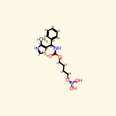 Cc1ncsc1C(NC(=O)OCCCCON(O)O)c1ccccc1